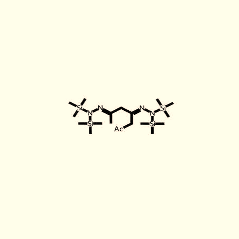 CC(=O)C/C(C/C(C)=N/N([Si](C)(C)C)[Si](C)(C)C)=N\N([Si](C)(C)C)[Si](C)(C)C